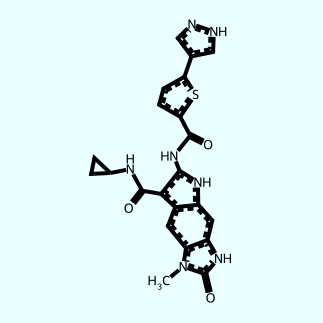 Cn1c(=O)[nH]c2cc3[nH]c(NC(=O)c4ccc(-c5cn[nH]c5)s4)c(C(=O)NC4CC4)c3cc21